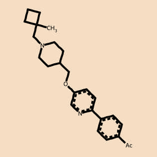 CC(=O)c1ccc(-c2ccc(OCC3CCN(CC4(C)CCC4)CC3)cn2)cc1